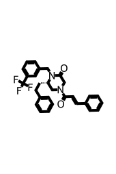 O=C(/C=C/c1ccccc1)N1CC(=O)N(Cc2cccc(C(F)(F)F)c2)[C@@H](CCc2ccccc2)C1